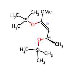 CO/C(=C/[C@@H](C)O[Si](C)(C)C)O[Si](C)(C)C